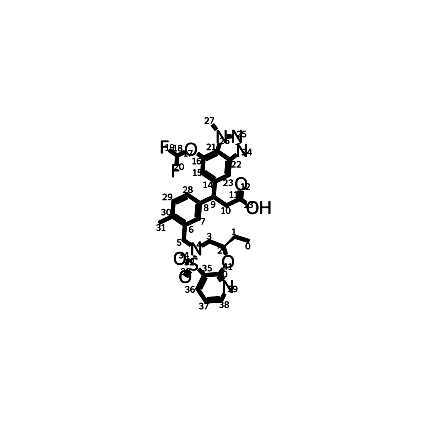 CC[C@@H]1CN(Cc2cc(C(CC(=O)O)c3cc(OC(F)F)c4c(c3)nnn4C)ccc2C)S(=O)(=O)c2cccnc2O1